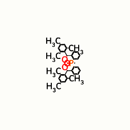 Cc1cc(C)c(C(=O)c2ccccc2[P](=O)c2ccccc2C(=O)c2c(C)cc(C)cc2C)c(C)c1